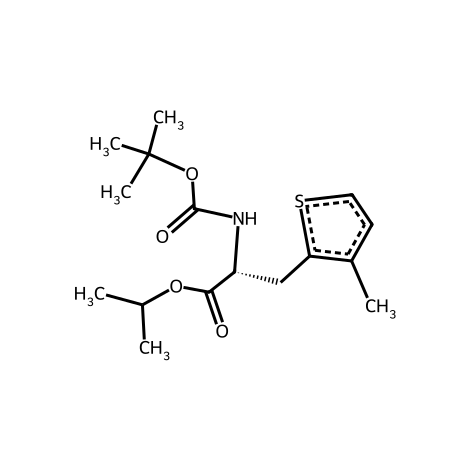 Cc1ccsc1C[C@@H](NC(=O)OC(C)(C)C)C(=O)OC(C)C